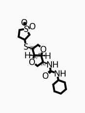 O=C(NC1CCCCC1)N[C@H]1CO[C@H]2[C@@H]1OC[C@@H]2SC1CCS(=O)(=O)C1